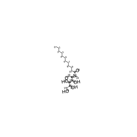 CCCCCCCCCCCC(=O)N(C)[C@@H](C=O)[C@@H](O)[C@H](O)[C@H](O)CO